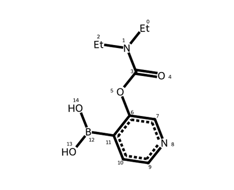 CCN(CC)C(=O)Oc1cnccc1B(O)O